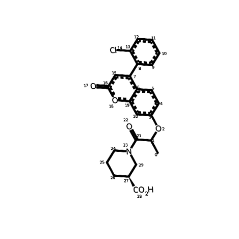 CC(Oc1ccc2c(-c3ccccc3Cl)cc(=O)oc2c1)C(=O)N1CCC[C@H](C(=O)O)C1